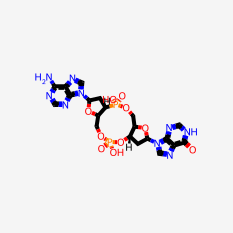 Nc1ncnc2c1ncn2C1C[C@H]2C(COP(=O)(O)O[C@H]3CC(n4cnc5c(=O)[nH]cnc54)OC3COP2(=O)O)O1